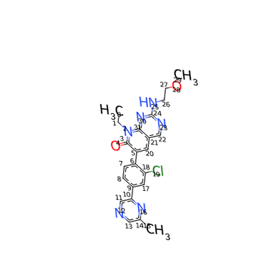 CCn1c(=O)c(-c2ccc(-c3cncc(C)n3)cc2Cl)cc2cnc(NCCOC)nc21